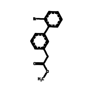 COC(=O)Cc1cccc(-c2ccccc2Br)c1